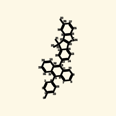 Cc1ccc(-c2c3ccccc3c(-c3ccc4c(c3)C(C)(C)c3c-4sc4ccc(C)cc34)c3ccccc23)cc1